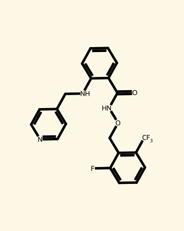 O=C(NOCc1c(F)cccc1C(F)(F)F)c1ccccc1NCc1ccncc1